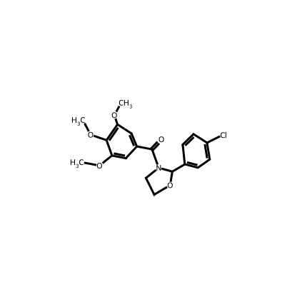 COc1cc(C(=O)N2C[CH]OC2c2ccc(Cl)cc2)cc(OC)c1OC